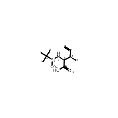 C=C[C@@H](C)[C@H](N[S+]([O-])C(C)(C)C)C(=O)O